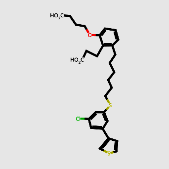 O=C(O)CCCOc1cccc(CCCCCCSc2cc(Cl)cc(-c3ccsc3)c2)c1CCC(=O)O